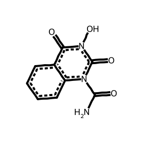 NC(=O)n1c(=O)n(O)c(=O)c2ccccc21